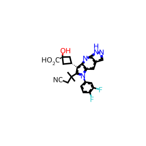 CC(C)(CC#N)c1c([C@H]2C[C@](O)(C(=O)O)C2)c2nc3[nH]ncc3cc2n1-c1ccc(F)c(F)c1